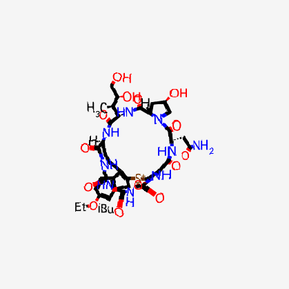 CCOc1ccc2c(c1)CC1=C2CC[C@@H]2NC(=O)[C@H]([C@@H](C)[C@@H](O)CO)NC(=O)[C@@H]3C[C@@H](O)CN3C(=O)[C@H](CC(N)=O)NC(=O)C(C[S+]1[O-])NC(=O)CNC(=O)[C@H]([C@@H](C)CC)NC(=O)CNC2=O